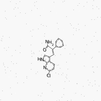 NC(=O)C(=Cc1c[nH]c2nc(Cl)ccc12)c1ccccc1